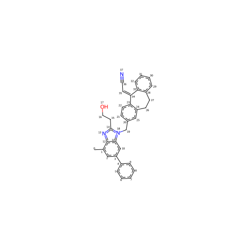 Cc1cc(-c2ccccc2)cc2c1nc(CCO)n2Cc1ccc2c(c1)CCc1ccccc1C2=CC#N